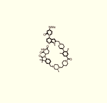 CNc1ccn(-c2ccnc3c2cc(CN2CC=C(c4c(C)cc(C(=O)N5CCC(CN6CCN(Cc7ccc8c(c7)C(C)(C)C(=O)N8C7CCC(=O)NC7=O)C[C@@H]6C)CC5)cc4F)CC2)n3C)c(=O)c1